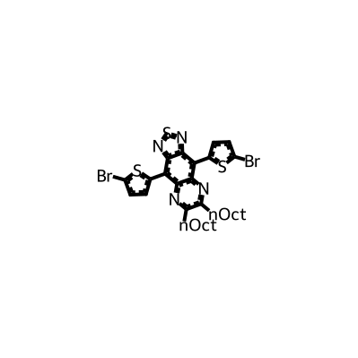 CCCCCCCCc1nc2c(-c3ccc(Br)s3)c3nsnc3c(-c3ccc(Br)s3)c2nc1CCCCCCCC